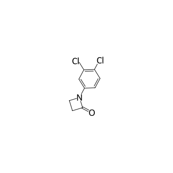 O=C1CCN1c1ccc(Cl)c(Cl)c1